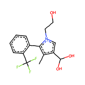 Cc1c(C(O)O)cn(CCO)c1-c1ccccc1C(F)(F)F